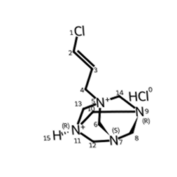 Cl.ClC=CC[N+]12C[N@]3C[N@@](C[N@@H+](C3)C1)C2